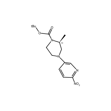 C[C@H]1CN(c2ccc([N+](=O)[O-])nc2)CCN1C(=O)OC(C)(C)C